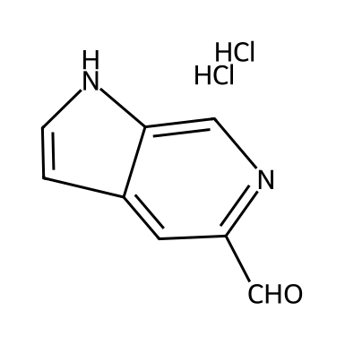 Cl.Cl.O=Cc1cc2cc[nH]c2cn1